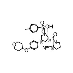 Cc1ccc(S(=O)(=O)O)cc1.N#C[C@@H]1CCCN1C(=O)[C@@H]1C[C@H](c2ccc(OC3CCOCC3)cc2)CN1